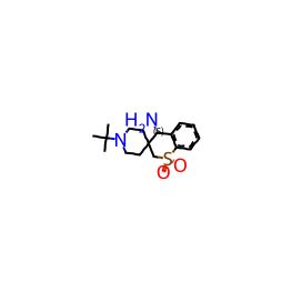 CC(C)(C)N1CCC2(CC1)CS(=O)(=O)c1ccccc1[C@H]2N